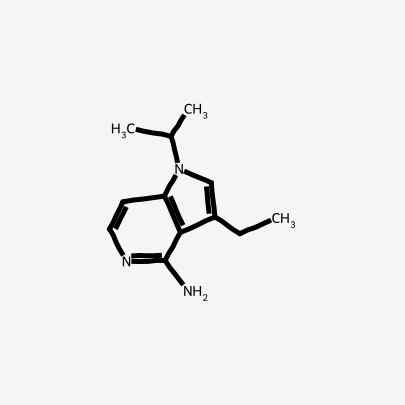 CCc1cn(C(C)C)c2ccnc(N)c12